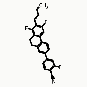 CCCCc1c(F)cc2c(c1F)CCc1cc(-c3ccc(C#N)c(F)c3)ccc1-2